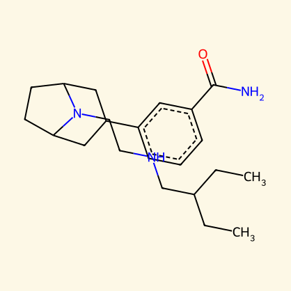 CCC(CC)CNCCN1C2CCC1CC(c1cccc(C(N)=O)c1)C2